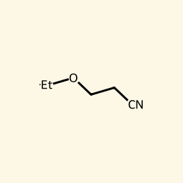 C[CH]OCCC#N